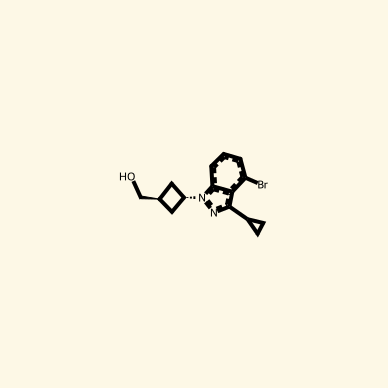 OC[C@H]1C[C@H](n2nc(C3CC3)c3c(Br)cccc32)C1